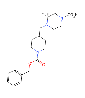 C[C@@H]1CN(C(=O)O)CCN1CC1CCN(C(=O)OCc2ccccc2)CC1